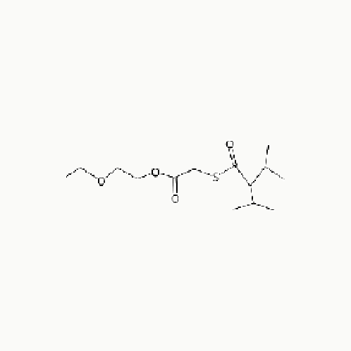 CCOCCOC(=O)CSC(=O)C(C(C)C)C(C)C